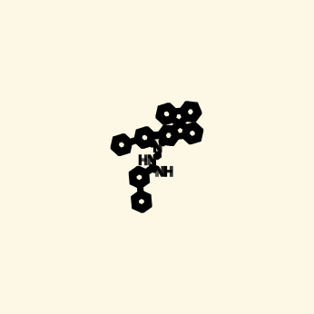 N=C(NCn1c2cc(-c3ccccc3)ccc2c2cc3c(cc21)-c1ccccc1C31c2ccccc2-c2ccccc21)c1cccc(-c2ccccc2)c1